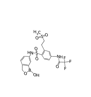 CS(=O)(=O)CCc1cc(NC(=O)C(F)(F)F)ccc1S(=O)(=O)Nc1ccc2c(c1)B(O)OC2